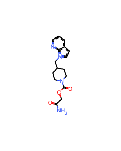 NC(=O)COC(=O)N1CCC(Cn2ccc3cccnc32)CC1